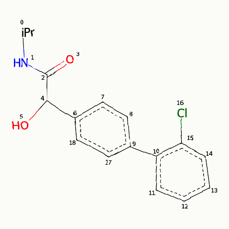 CC(C)NC(=O)C(O)c1ccc(-c2ccccc2Cl)cc1